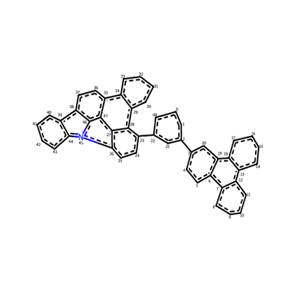 c1cc(-c2ccc3c4ccccc4c4ccccc4c3c2)cc(-c2ccc3c4c2c2ccccc2c2ccc5c6ccccc6n3c5c24)c1